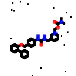 CN(C)C(=O)OC[n+]1cccc(CNC(=O)Nc2ccc(COc3ccccc3-c3ccccc3)cc2)c1